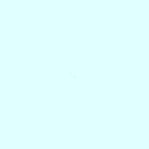 O=C1C(=CO)C(=O)N(Cc2ccccc2)N1Cc1ccccc1